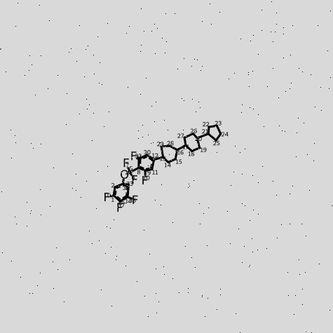 Fc1cc(OC(F)(F)c2c(F)cc(C3CCC(C4CCC(C5CCCC5)CC4)CC3)cc2F)cc(F)c1F